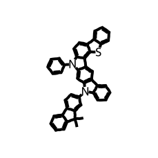 CC1(C)c2ccccc2-c2ccc(-n3c4ccccc4c4cc5c6c7sc8ccccc8c7ccc6n(-c6ccccc6)c5cc43)cc21